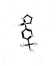 CC(C)(C)c1ccc(S2(=O)=NCCC2)cn1